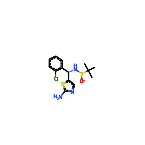 CC(C)(C)[S@@+]([O-])N[C@H](c1cnc(N)s1)c1ccccc1Cl